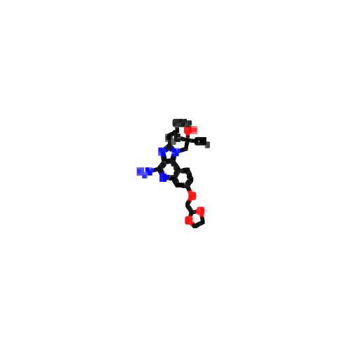 COCCc1nc2c(N)nc3cc(OCC4OCCO4)ccc3c2n1CC(C)(C)O